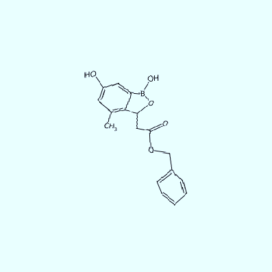 Cc1cc(O)cc2c1C(CC(=O)OCc1ccccc1)OB2O